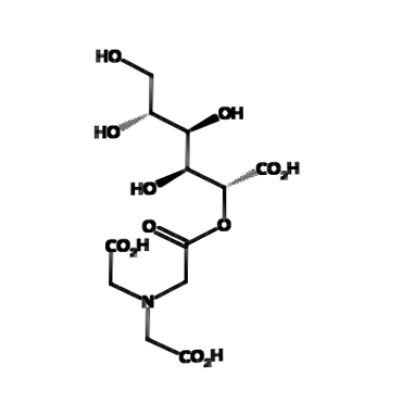 O=C(O)CN(CC(=O)O)CC(=O)O[C@@H](C(=O)O)[C@@H](O)[C@H](O)[C@H](O)CO